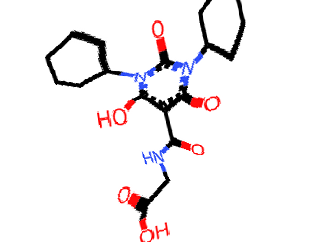 O=C(O)CNC(=O)c1c(O)n(C2CCCCC2)c(=O)n(C2CCCCC2)c1=O